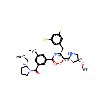 CCCO[C@H]1CN[C@@H]([C@@H](O)[C@H](Cc2cc(F)cc(F)c2)NC(=O)c2cc(C)cc(C(=O)N3CCC[C@@H]3COC)c2)C1